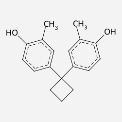 Cc1cc(C2(c3ccc(O)c(C)c3)CCC2)ccc1O